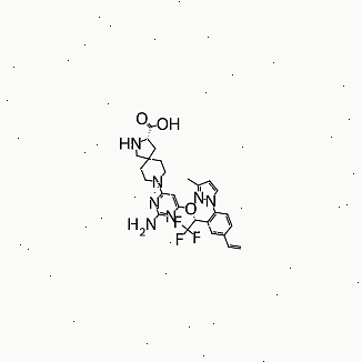 C=Cc1ccc(-n2ccc(C)n2)c([C@@H](Oc2cc(N3CCC4(CC3)CN[C@H](C(=O)O)C4)nc(N)n2)C(F)(F)F)c1